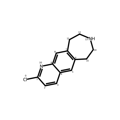 Clc1ccc2cc3c(cc2n1)CCNCC3